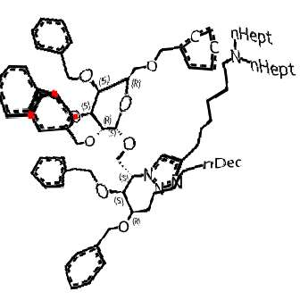 CCCCCCCCCCCCCC[C@@H](OCc1ccccc1)[C@@H](OCc1ccccc1)[C@H](CO[C@H]1O[C@H](COCc2ccccc2)[C@H](OCc2ccccc2)[C@H](OCc2ccccc2)[C@H]1OCc1ccccc1)n1cc(CCCCCCN(CCCCCCC)CCCCCCC)nn1